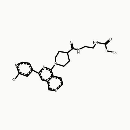 CC(C)(C)OC(=O)NCCNC(=O)C1CCN(c2nc(-c3ccnc(Cl)c3)cc3cnccc23)CC1